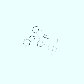 CC1(C)OB(c2ccc3c(c2)C2(c4ccccc4Oc4ccccc42)c2ccc4ccccc4c2-3)OC1(C)C